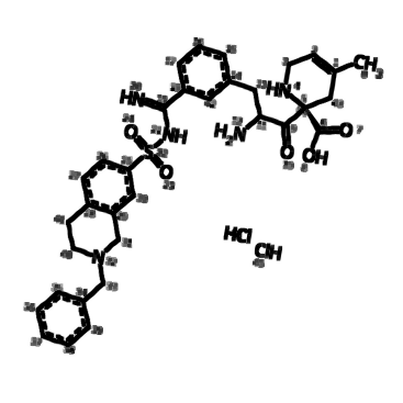 CC1=CCN[C@@](C(=O)O)(C(=O)C(N)Cc2cccc(C(=N)NS(=O)(=O)c3ccc4c(c3)CN(Cc3ccccc3)CC4)c2)C1.Cl.Cl